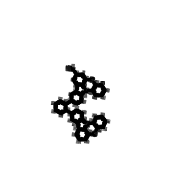 CC(C)(C)c1cc2c3c(c1)c1cc(-c4ccccc4-c4ccc5c(c4)c4cccc6c4n5-c4ccccc4O6)ccc1n3-c1ccccc1O2